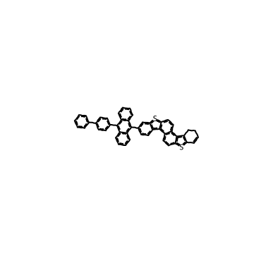 C1=Cc2sc3ccc4c(ccc5sc6cc(-c7c8ccccc8c(-c8ccc(-c9ccccc9)cc8)c8ccccc78)ccc6c54)c3c2CC1